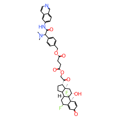 CN(C)C(C(=O)Nc1ccc2cnccc2c1)c1ccc(COC(=O)CCC(=O)OCC(=O)[C@H]2CCC3[C@@H]4C[C@H](F)C5=CC(=O)C=C[C@]5(C)[C@@]4(F)[C@@H](O)C[C@@]32C)cc1